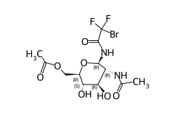 CC(=O)N[C@@H]1[C@@H](O)[C@H](O)[C@@H](COC(C)=O)O[C@H]1NC(=O)C(F)(F)Br